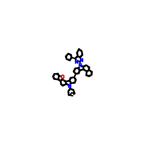 c1ccc(-c2nc(-n3c4ccc(-c5ccc6c(c5)c5c7oc8ccccc8c7ccc5n6-c5ccccc5)cc4c4c5ccccc5ccc43)nc3ccccc23)cc1